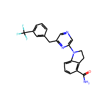 NC(=O)c1cccc2c1CCN2c1cncc(Cc2cccc(C(F)(F)F)c2)n1